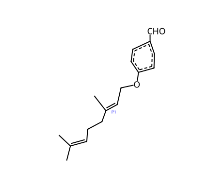 CC(C)=CCC/C(C)=C/COc1ccc(C=O)cc1